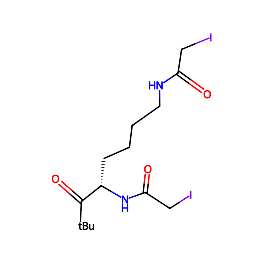 CC(C)(C)C(=O)[C@H](CCCCNC(=O)CI)NC(=O)CI